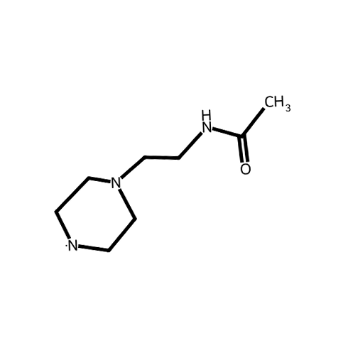 CC(=O)NCCN1CC[N]CC1